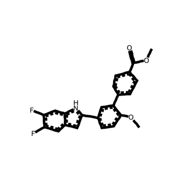 COC(=O)c1ccc(-c2cc(-c3cc4cc(F)c(F)cc4[nH]3)ccc2OC)cc1